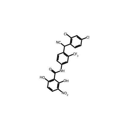 N#CC(c1ccc(Cl)cc1Cl)c1ccc(NC(=O)c2c(O)ccc([N+](=O)[O-])c2O)cc1C(F)(F)F